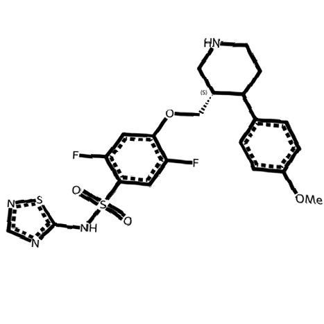 COc1ccc(C2CCNC[C@H]2COc2cc(F)c(S(=O)(=O)Nc3ncns3)cc2F)cc1